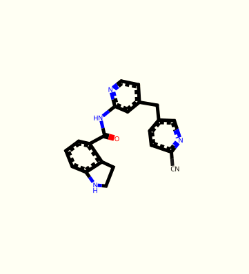 N#Cc1ccc(Cc2ccnc(NC(=O)c3cccc4c3CCN4)c2)cn1